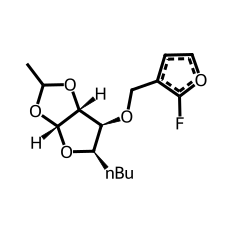 CCCC[C@H]1O[C@@H]2OC(C)O[C@@H]2[C@H]1OCc1ccoc1F